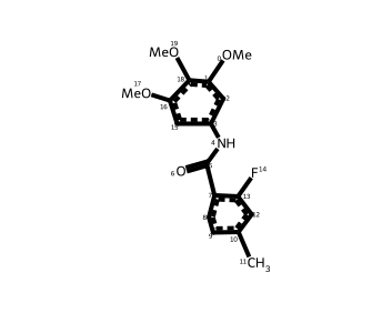 COc1cc(NC(=O)c2ccc(C)cc2F)cc(OC)c1OC